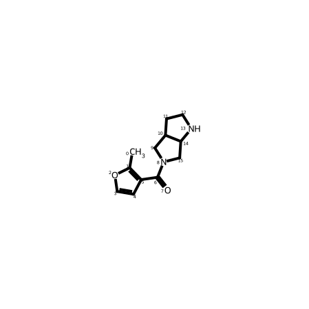 Cc1occc1C(=O)N1CC2CCNC2C1